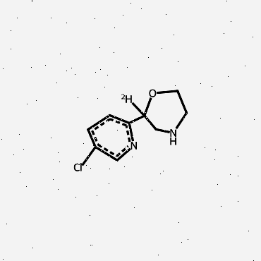 [2H]C1(c2ccc(Cl)cn2)CNCCO1